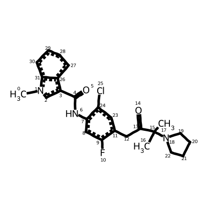 Cn1cc(C(=O)Nc2cc(F)c(CC(=O)C(C)(C)N3C[CH]CC3)cc2Cl)c2ccccc21